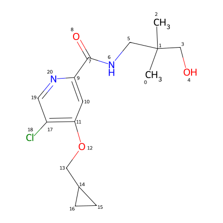 CC(C)(CO)CNC(=O)c1cc(OCC2CC2)c(Cl)cn1